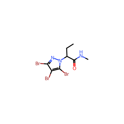 CCC(C(=O)NC)n1nc(Br)c(Br)c1Br